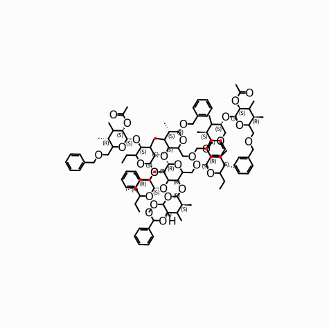 CCC1O[C@H](OCC2O[C@@H](O[C@@H]3C(COCc4ccccc4)O[C@@H](OCc4ccccc4)[C@@H](C)C3C)[C@H](OCc3ccccc3)C(O[C@@H]3OC(CC)[C@H](C)[C@@H](C)C3O[C@@H]3OC(CC)[C@@H](O[C@@H]4OC(COCc5ccccc5)[C@H](C)C(C)[C@@H]4OC(C)=O)C(C)[C@@H]3C)[C@@H]2O[C@@H]2OC3OOC(c4ccccc4)O[C@H]3C(C)[C@@H]2C)[C@H](O[C@@H]2OC[C@@H](O[C@@H]3OC(COCc4ccccc4)[C@H](C)C(C)[C@@H]3OC(C)=O)C(C)[C@@H]2C)C(C)[C@@H]1C